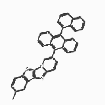 CC1C=Cc2sc3c(nc4ccc(-c5c6ccccc6c(-c6cccc7ccccc67)c6ccccc56)cn43)c2C1